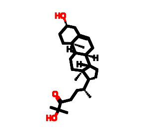 C[C@H](CCC(=O)C(C)(C)O)[C@H]1CC[C@H]2[C@@H]3CC=C4C[C@@H](O)CC[C@]4(C)[C@H]3CC[C@]12C